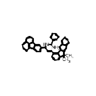 CC1(C)c2cc3ccccc3cc2-c2c(/C=C/C(NC(N)c3ccccc3)c3ccc4c(c3)-c3cccc5cccc-4c35)cccc21